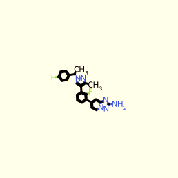 Cc1nn(C(C)c2ccc(F)cc2)cc1-c1cccc(-c2ccn3nc(N)nc3c2)c1F